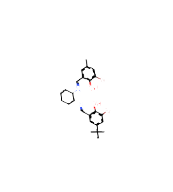 Cc1cc(Br)c(O)c(/C=N/[C@@H]2CCCC[C@H]2/N=C/c2cc(C(C)(C)C)cc(Br)c2O)c1